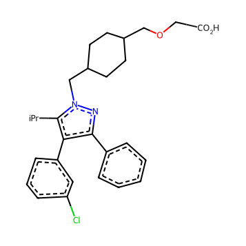 CC(C)c1c(-c2cccc(Cl)c2)c(-c2ccccc2)nn1CC1CCC(COCC(=O)O)CC1